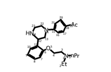 CCCN(CC)CCOc1ccccc1C1CN(c2ccc(C(C)=O)cc2)CCN1